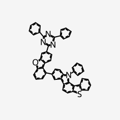 c1ccc(-c2nc(-c3ccccc3)nc(-c3ccc4c(c3)oc3cccc(-c5ccc6c(c5)c5ccc7sc8ccccc8c7c5n6-c5ccccc5)c34)n2)cc1